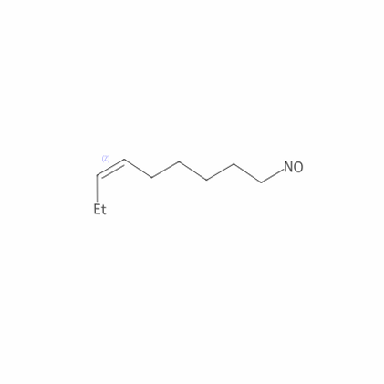 CC/C=C\CCCCCN=O